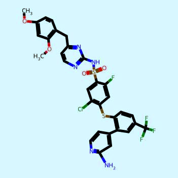 COc1ccc(Cc2ccnc(NS(=O)(=O)c3cc(Cl)c(Sc4ccc(C(F)(F)F)cc4-c4ccnc(N)c4)cc3F)n2)c(OC)c1